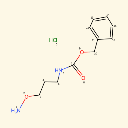 Cl.NOCCCNC(=O)OCc1ccccc1